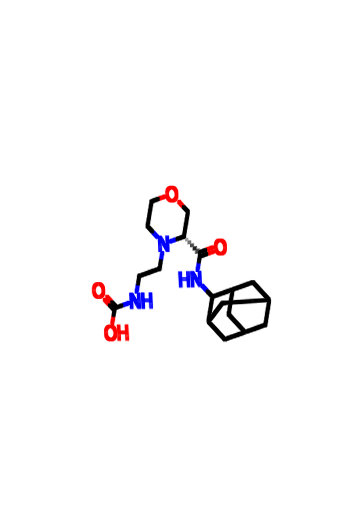 O=C(O)NCCN1CCOC[C@@H]1C(=O)NC1C2CC3CC(C2)CC1C3